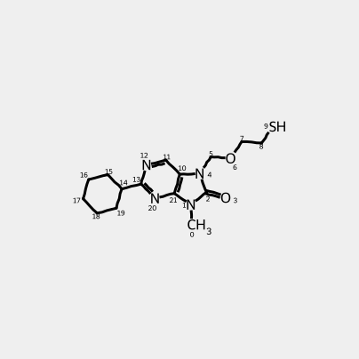 Cn1c(=O)n(COCCS)c2cnc(C3CCCCC3)nc21